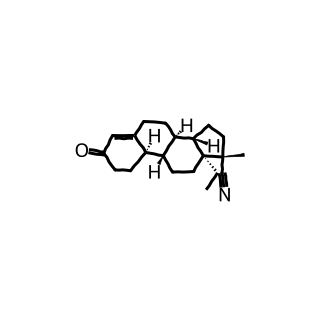 CC[C@]12CC[C@H]3[C@@H](CCC4=CC(=O)CC[C@@H]43)[C@@H]1CC[C@]2(C)C#N